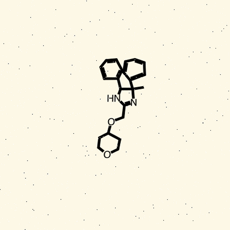 CC1(c2ccccc2)N=C(COC2CCOCC2)NC1c1ccccc1